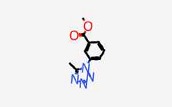 COC(=O)c1cccc(-n2nnnc2C)c1